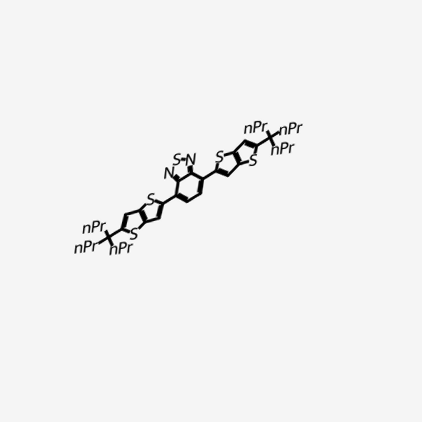 CCCC(CCC)(CCC)c1cc2sc(-c3ccc(-c4cc5sc(C(CCC)(CCC)CCC)cc5s4)c4nsnc34)cc2s1